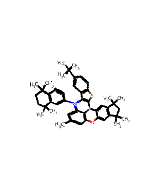 Cc1cc2c3c(c1)N(c1ccc4c(c1)C(C)(C)CCC4(C)C)c1c(sc4ccc(C(C)(C)C)cc14)B3c1cc3c(cc1O2)C(C)(C)CC3(C)C